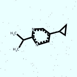 CC(C)c1ncc(C2CC2)cn1